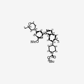 COc1nc(N2CCO[C@H](C)C2)cc(-n2ncc3cc(C)c(C4CCN(C(=O)OC(C)(C)C)CC4)cc32)n1